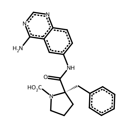 Nc1ncnc2ccc(NC(=O)[C@@]3(Cc4ccccc4)CCCN3C(=O)O)cc12